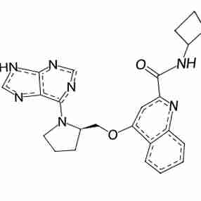 O=C(NC1CCC1)c1cc(OC[C@H]2CCCN2c2ncnc3[nH]cnc23)c2ccccc2n1